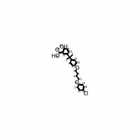 CC(C)(c1ccc(OCCCCOc2ccc(Cl)cc2)cc1)c1ccc(O)c(C(=O)O)c1